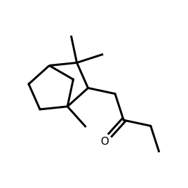 CCC(=O)CC1C2(C)CCC(C2)C1(C)C